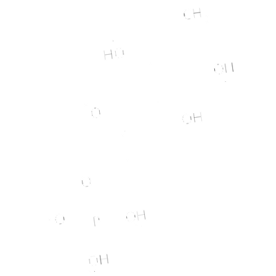 C[C@H](O)[C@@H](O)[C@H](O)C(=O)COP(=O)(O)O